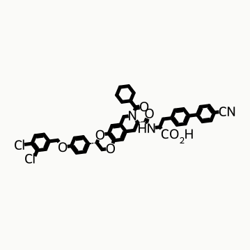 N#Cc1ccc(-c2ccc(CC(NC(=O)[C@@H]3Cc4cc5c(cc4CN3C(=O)C3CCCCC3)O[C@@H](c3ccc(OCc4ccc(Cl)c(Cl)c4)cc3)CO5)C(=O)O)cc2)cc1